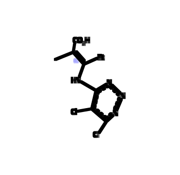 CC/C(Nc1nnnc(Cl)c1Cl)=C(/C)C(=O)O